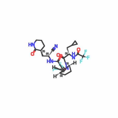 N#C[C@@H](C[C@@H]1CCCNC1=O)NC(=O)[C@H]1[C@@H]2CC[C@@H](CC2(F)F)N1C(=O)[C@H](CC1CC1)NC(=O)C(F)(F)F